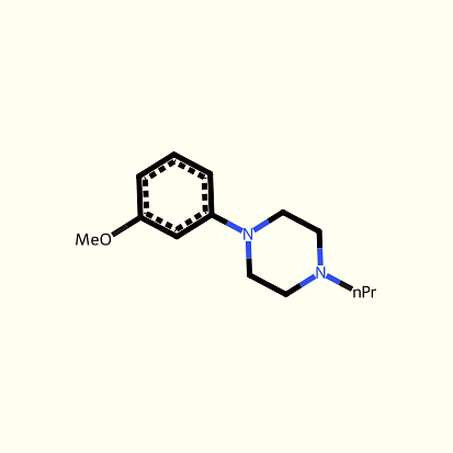 C[CH]CN1CCN(c2cccc(OC)c2)CC1